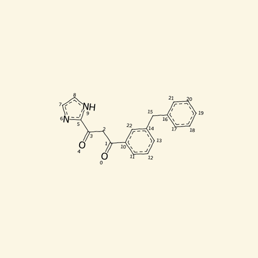 O=C(CC(=O)c1ncc[nH]1)c1cccc(Cc2ccccc2)c1